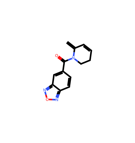 C=C1C=CCCN1C(=O)c1ccc2nonc2c1